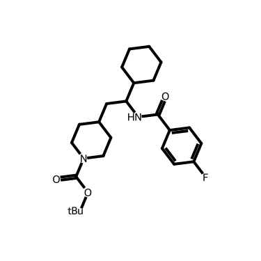 CC(C)(C)OC(=O)N1CCC(CC(NC(=O)c2ccc(F)cc2)C2CCCCC2)CC1